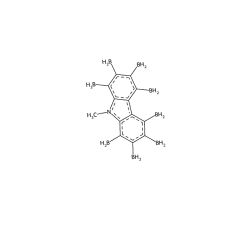 Bc1c(B)c(B)c2c(c1B)c1c(B)c(B)c(B)c(B)c1n2C